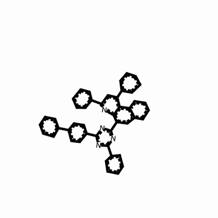 c1ccc(-c2ccc(-c3nc(-c4ccccc4)nc(-c4cc5ccccc5c5c(-c6ccccc6)cc(-c6ccccc6)nc45)n3)cc2)cc1